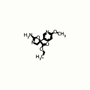 CCOC(=O)[C@]1(c2ccc(OC)nc2)CN=C(N)O1